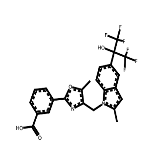 Cc1oc(-c2cccc(C(=O)O)c2)nc1Cn1c(C)cc2cc(C(O)(C(F)(F)F)C(F)(F)F)ccc21